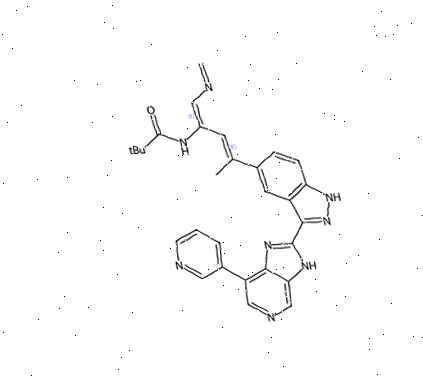 C=N/C=C(\C=C(/C)c1ccc2[nH]nc(-c3nc4c(-c5cccnc5)cncc4[nH]3)c2c1)NC(=O)C(C)(C)C